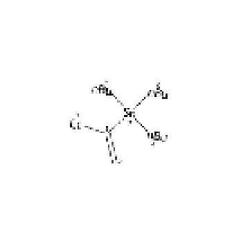 [CH2]C[C](=C)[Sn]([CH2]CCC)([CH2]CCC)[CH2]CCC